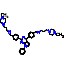 CN1CCN(CCCN=Cc2ccc(-c3nc(-c4ccc(C=NCCCN5CCN(C)CC5)cc4)c4ccn(-c5ccccc5)c4n3)cc2)CC1